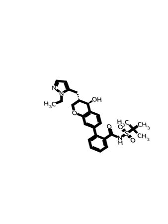 CCn1nccc1C[C@H]1COc2cc(-c3ccccc3C(=O)NS(=O)(=O)C(C)(C)C)ccc2[C@@H]1O